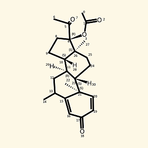 CC(=O)O[C@]1(C(C)=O)CC[C@H]2[C@@H]3CC(C)C4=CC(=O)C=C[C@]4(C)[C@H]3CC[C@@]21C